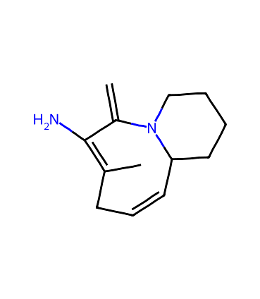 C=C1/C(N)=C(\C)C/C=C\C2CCCCN12